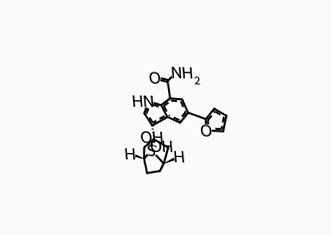 NC(=O)c1cc(-c2ccco2)cc2c([C@H]3C[C@H]4CC[C@@H](C3)S4(O)O)c[nH]c12